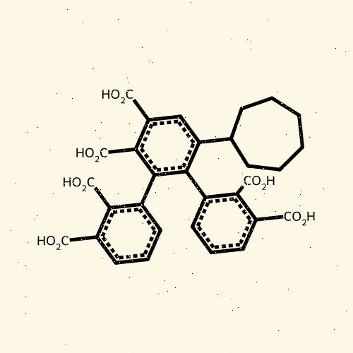 O=C(O)c1cccc(-c2c(C3CCCCCC3)cc(C(=O)O)c(C(=O)O)c2-c2cccc(C(=O)O)c2C(=O)O)c1C(=O)O